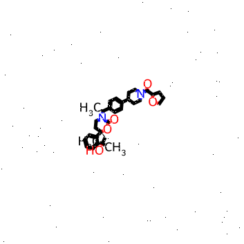 C[C@@H](c1ccc(C2CCN(C(=O)C3CCCO3)CC2)cc1)N1CC[C@](CC(C)(C)O)(c2ccccc2)OC1=O